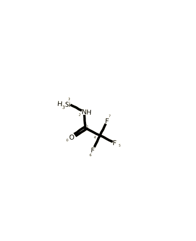 O=C(N[SiH3])C(F)(F)F